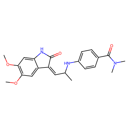 COc1cc2c(cc1OC)C(=CC(C)Nc1ccc(C(=O)N(C)C)cc1)C(=O)N2